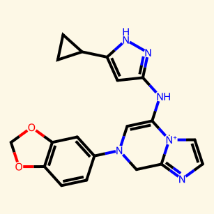 C1=C[N+]2C(Nc3cc(C4CC4)[nH]n3)=CN(c3ccc4c(c3)OCO4)CC2=N1